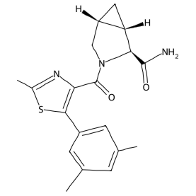 Cc1cc(C)cc(-c2sc(C)nc2C(=O)N2C[C@@H]3C[C@@H]3[C@H]2C(N)=O)c1